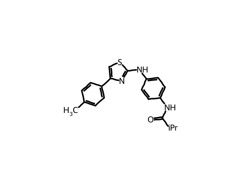 Cc1ccc(-c2csc(Nc3ccc(NC(=O)C(C)C)cc3)n2)cc1